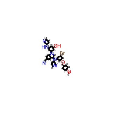 COc1ccc(COc2cc(Br)cc(N(c3cccnc3)c3cn(-c4cc(O)cc(Nc5cccnc5)c4)c4ccc(C#N)cc34)c2)cc1